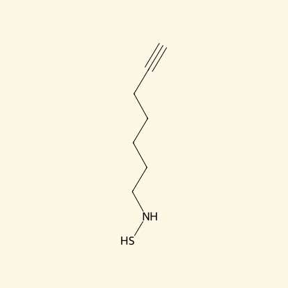 C#CCCCCCNS